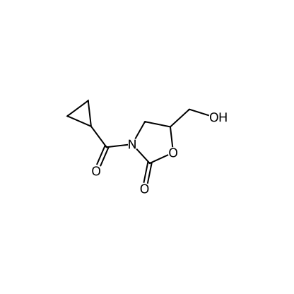 O=C1OC(CO)CN1C(=O)C1CC1